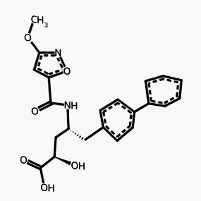 COc1cc(C(=O)N[C@H](Cc2ccc(-c3ccccc3)cc2)C[C@@H](O)C(=O)O)on1